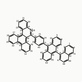 c1ccc2c(-c3c4ccccc4c(-c4ccc(-c5nc6ccccc6c6c7ccccc7c7ccccc7c56)cc4)c4ccccc34)cccc2c1